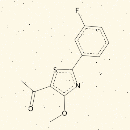 COc1nc(-c2cccc(F)c2)sc1C(C)=O